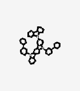 c1ccc(-c2cccc(-n3c4ccccc4c4cc5c(cc43)c3cc(-n4c6ccccc6c6ccccc64)ccc3n5-c3cccc(-c4ccccc4)c3)c2)cc1